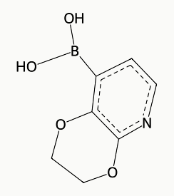 OB(O)c1ccnc2c1OCCO2